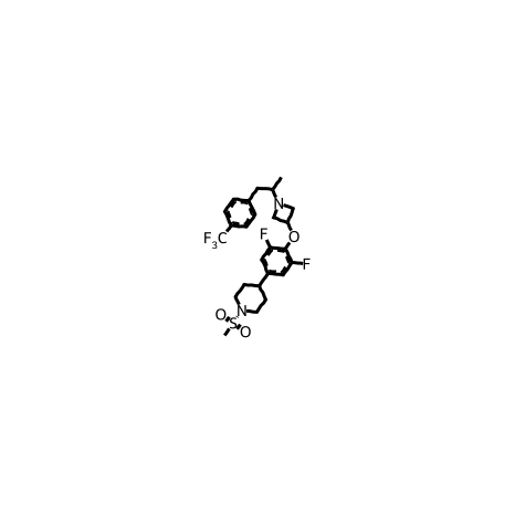 CC(Cc1ccc(C(F)(F)F)cc1)N1CC(Oc2c(F)cc(C3CCN(S(C)(=O)=O)CC3)cc2F)C1